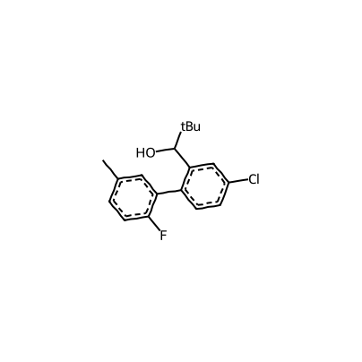 Cc1ccc(F)c(-c2ccc(Cl)cc2C(O)C(C)(C)C)c1